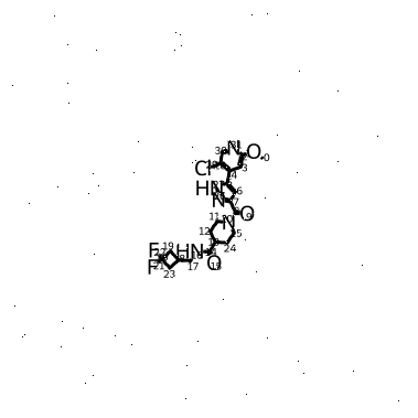 COc1cc(-c2cc(C(=O)N3CCC(C(=O)NCC4CC(F)(F)C4)CC3)n[nH]2)c(Cl)cn1